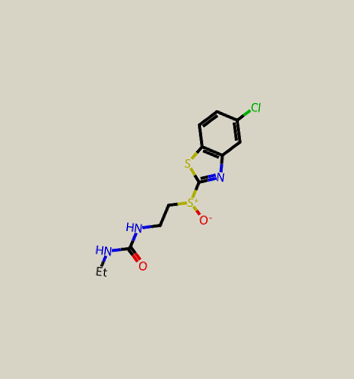 CCNC(=O)NCC[S+]([O-])c1nc2cc(Cl)ccc2s1